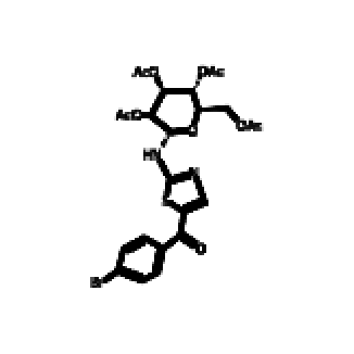 CC(=O)OC[C@H]1O[C@H](Nc2ncc(C(=O)c3ccc(Br)cc3)s2)[C@@H](OC(C)=O)[C@@H](OC(C)=O)[C@@H]1OC(C)=O